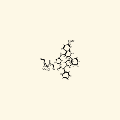 C=CC1CC1(NC(=O)[C@@H]1C[C@@H](Oc2cc(-c3ccccc3)nc3cc(OC)ccc23)CN1C(=O)C(c1ccccc1)N1CCCCC1)C(=O)O